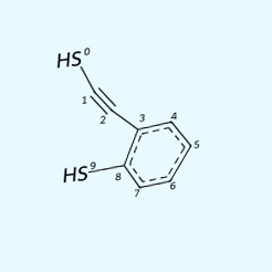 SC#Cc1ccccc1S